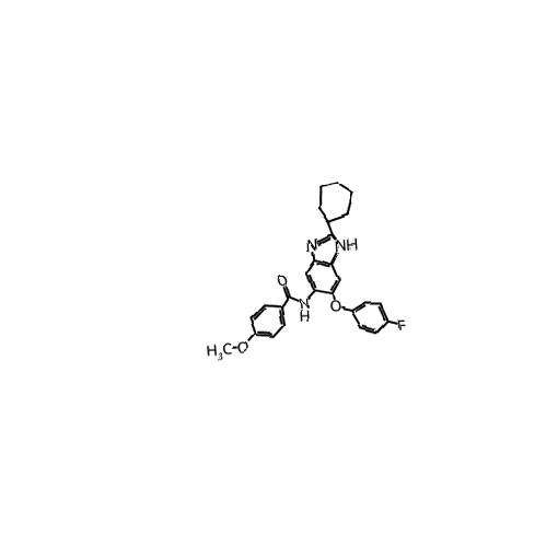 COc1ccc(C(=O)Nc2cc3nc(C4CCCCC4)[nH]c3cc2Oc2ccc(F)cc2)cc1